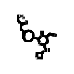 CCC(=O)CC1=CCCN(C2N=C(NC3COC3)CC(C=O)N2)CC1